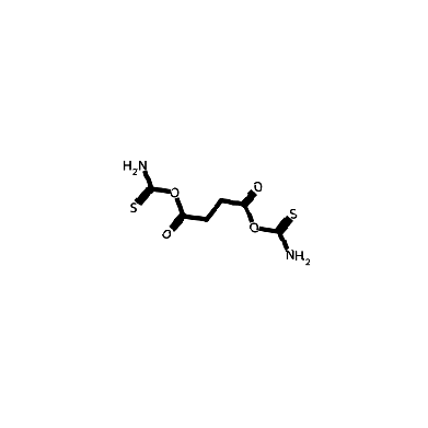 NC(=S)OC(=O)CCC(=O)OC(N)=S